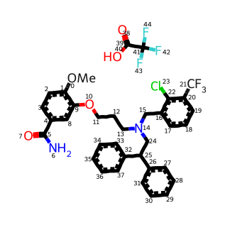 COc1ccc(C(N)=O)cc1OCCCN(Cc1cccc(C(F)(F)F)c1Cl)CC(c1ccccc1)c1ccccc1.O=C(O)C(F)(F)F